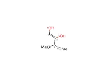 COC(OC)/C(O)=C/O